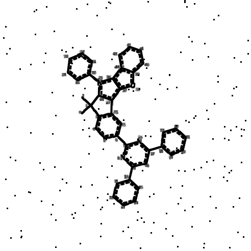 CC1(C)c2ccc(-c3nc(-c4ccccc4)cc(-c4ccccc4)n3)cc2-c2c1n(-c1ccccc1)c1c2oc2ccccc21